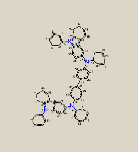 C1=CCCC(n2c3c(c4cc(N(c5ccccc5)c5ccc(-c6ccc(N(c7ccc8c(c7)c7c(n8C8=CC=CCC8)CCC=C7)C7C=CC=CC7)cc6)cc5)ccc42)C=CCC3)=C1